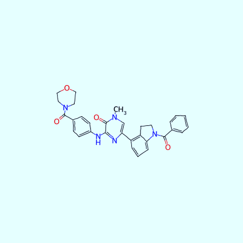 Cn1cc(-c2cccc3c2CCN3C(=O)c2ccccc2)nc(Nc2ccc(C(=O)N3CCOCC3)cc2)c1=O